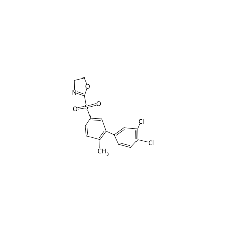 Cc1ccc(S(=O)(=O)C2=NCCO2)cc1-c1ccc(Cl)c(Cl)c1